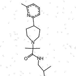 Cc1cccc(C2CCN(C(C)(C)C(=O)NCC(C)C)CC2)n1